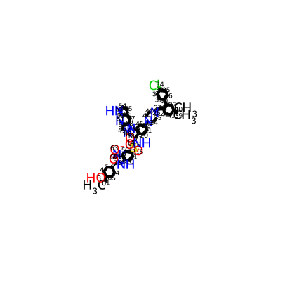 CC[C@]1(O)CC[C@@H](CNc2ccc(S(=O)(=O)NC(=O)c3ccc(N4CCN(CC5=C(c6ccc(Cl)cc6)CC(C)(C)CC5)CC4)cc3-n3ncc4nc5[nH]ccc5cc43)cc2[N+](=O)[O-])CC1